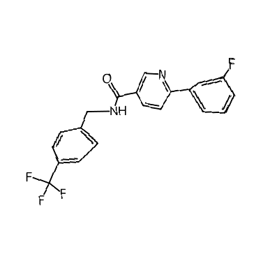 O=C(NCc1ccc(C(F)(F)F)cc1)c1ccc(-c2cccc(F)c2)nc1